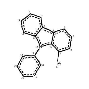 CC(C)c1cccc2c3ccccc3n(-c3ccccc3)c12